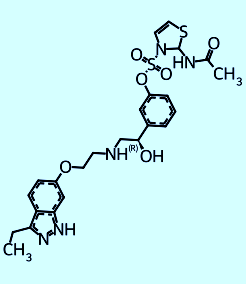 CCc1n[nH]c2cc(OCCNC[C@H](O)c3cccc(OS(=O)(=O)N4C=CSC4NC(C)=O)c3)ccc12